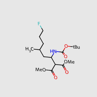 COC(=O)C(C(=O)OC)C(CC(C)CCCF)NC(=O)OC(C)(C)C